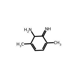 CC1=CC=C(C)C(N)C1=N